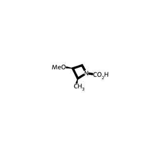 CO[C@H]1CN(C(=O)O)[C@H]1C